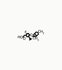 CC1CC2CC(C1)CC(C)(COc1cc(F)c(CC(=O)O)cc1C1CC1)C2